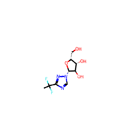 CC(F)(F)c1ncn([C@@H]2O[C@H](CO)[C@H](O)C2O)n1